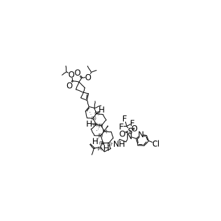 C=C(C)[C@@H]1CC[C@]2(NCCN(c3ccc(Cl)cn3)S(=O)(=O)C(F)(F)F)CC[C@]3(C)[C@H](CC[C@@H]4[C@@]5(C)CC=C(C6=CC7(C6)CC(C(=O)OC(C)C)(C(=O)OC(C)C)C7)C(C)(C)[C@@H]5CC[C@]43C)[C@@H]12